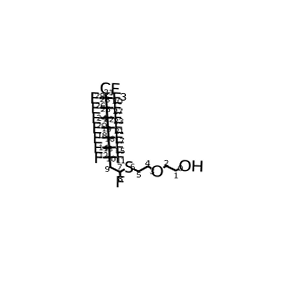 OCCOCCSC(F)CC(F)(F)C(F)(F)C(F)(F)C(F)(F)C(F)(F)C(F)(F)C(F)(F)C(F)(F)F